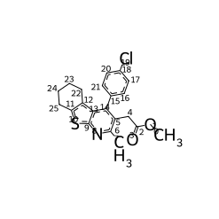 COC(=O)Cc1c(C)nc2sc3c(c2c1-c1ccc(Cl)cc1)CCCC3